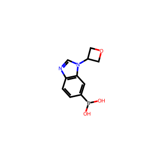 OB(O)c1ccc2ncn(C3COC3)c2c1